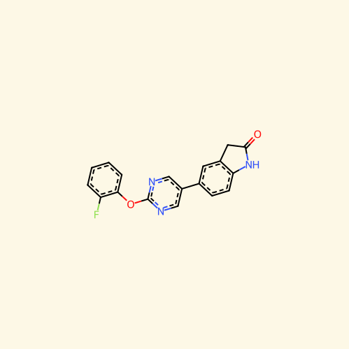 O=C1Cc2cc(-c3cnc(Oc4ccccc4F)nc3)ccc2N1